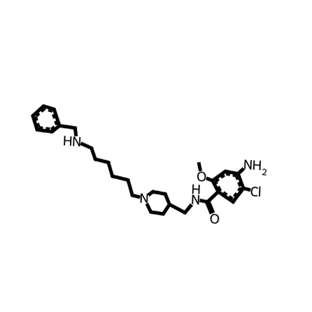 COc1cc(N)c(Cl)cc1C(=O)NCC1CCN(CCCCCCNCc2ccccc2)CC1